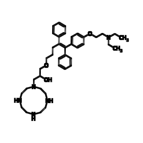 CCN(CC)CCOc1ccc(C(=C(CCCOCC(O)CN2CCNCCNCCNCC2)c2ccccc2)c2ccccc2)cc1